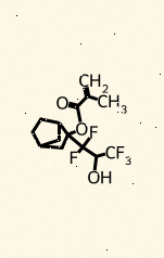 C=C(C)C(=O)OC1(C(F)(F)C(O)C(F)(F)F)CC2CCC1C2